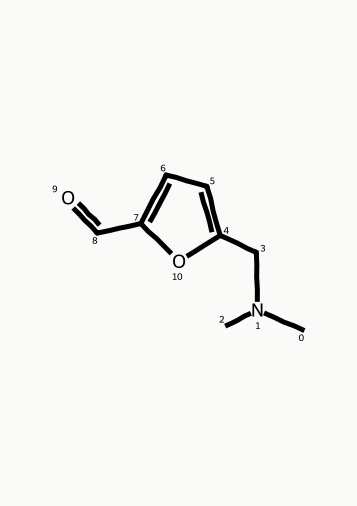 CN(C)Cc1ccc([C]=O)o1